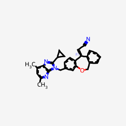 Cc1cc(C)c2nc(C3CC3)n(Cc3ccc4c(c3)OCc3ccccc3/C4=C\C#N)c2n1